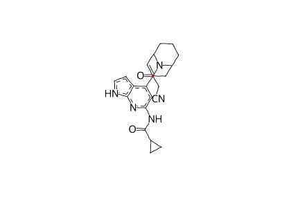 N#CCC(=O)N1C2C=C(c3cc(NC(=O)C4CC4)nc4[nH]ccc34)CC1CCC2